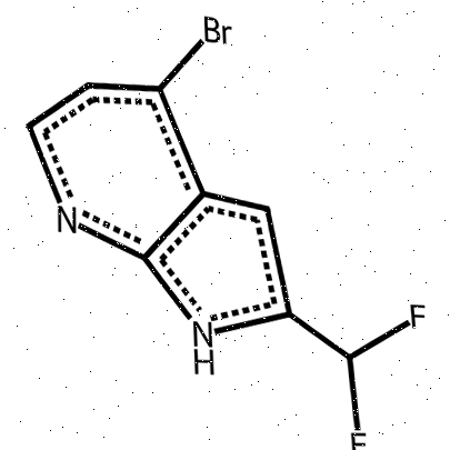 FC(F)c1cc2c(Br)ccnc2[nH]1